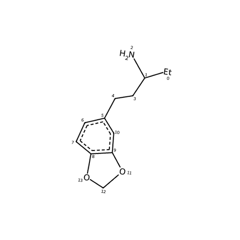 CCC(N)CCc1ccc2c(c1)OCO2